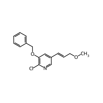 COC/C=C/c1cnc(Cl)c(OCc2ccccc2)c1